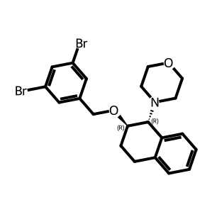 Brc1cc(Br)cc(CO[C@@H]2CCc3ccccc3[C@H]2N2CCOCC2)c1